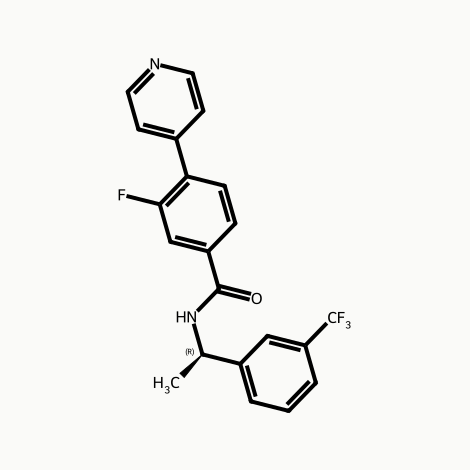 C[C@@H](NC(=O)c1ccc(-c2ccncc2)c(F)c1)c1cccc(C(F)(F)F)c1